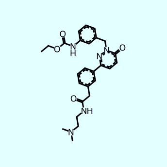 CCOC(=O)Nc1cccc(Cn2nc(-c3cccc(CC(=O)NCCN(C)C)c3)ccc2=O)c1